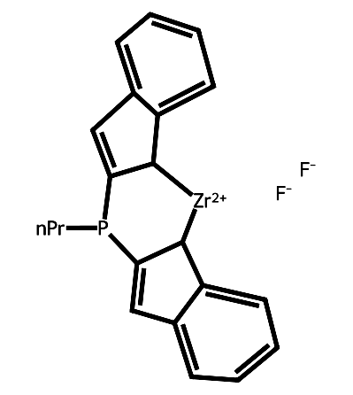 CCCP1C2=Cc3ccccc3[CH]2[Zr+2][CH]2C1=Cc1ccccc12.[F-].[F-]